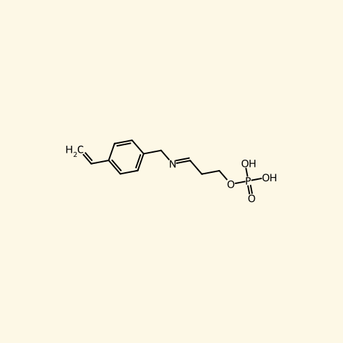 C=Cc1ccc(CN=CCCOP(=O)(O)O)cc1